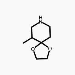 CC1CNCCC12OCCO2